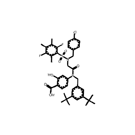 Cc1c(C)c(F)c(S(=O)(=O)N(CC(=O)N(Cc2cc(C(C)(C)C)cc(C(C)(C)C)c2)c2ccc(C(=O)O)c(O)c2)Cc2ccc(Cl)cc2)c(C)c1F